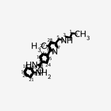 CCCCNCc1cnc(-c2ccc(C(=O)Nc3ccccc3N)cc2)c(C)c1